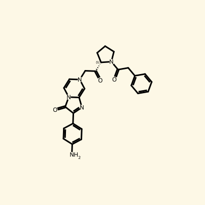 Nc1ccc(-c2nc3cn(CC(=O)[C@@H]4CCCN4C(=O)Cc4ccccc4)ccn-3c2=O)cc1